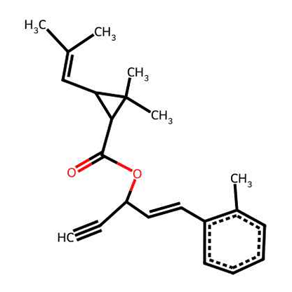 C#CC(/C=C/c1ccccc1C)OC(=O)C1C(C=C(C)C)C1(C)C